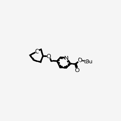 CC(C)(C)OC(=O)c1ccc(COC2CCCCC2)cn1